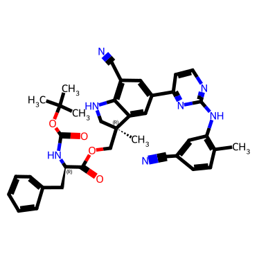 Cc1ccc(C#N)cc1Nc1nccc(-c2cc(C#N)c3c(c2)[C@@](C)(COC(=O)[C@@H](Cc2ccccc2)NC(=O)OC(C)(C)C)CN3)n1